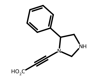 O=C(O)C#CN1CNCC1c1ccccc1